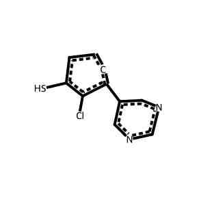 Sc1cccc(-c2cncnc2)c1Cl